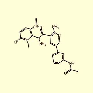 C=N/N=C(/c1cc(-c2cccc(NC(C)=O)c2)cnc1N)N(N)c1c(F)ccc(Cl)c1F